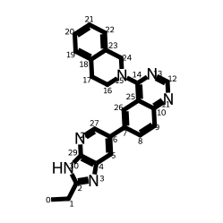 CCc1nc2cc(-c3ccc4ncnc(N5CCc6ccccc6C5)c4c3)cnc2[nH]1